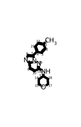 Cc1ccc(-c2cnc3ccc(NC4CCOCC4)nn23)cc1